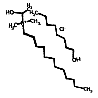 CCCCCCCCCCCC[N+](C)(C)C(C)O.CCCCCCCCO.[Cl-]